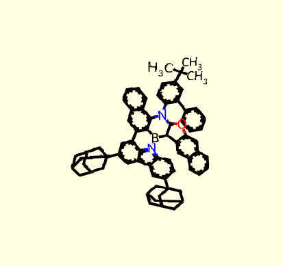 CC(C)(C)c1ccc(N2c3c4c(cc5ccccc35)-c3cc(C56CC7CC(CC(C7)C5)C6)cc5c6cc(C78CC9CC(CC(C9)C7)C8)ccc6n(c35)B4C3c4cc5ccccc5cc4OC32)c(-c2ccccc2)c1